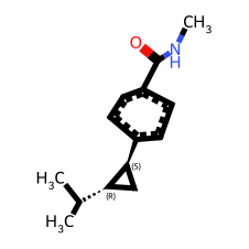 CNC(=O)c1ccc([C@H]2C[C@@H]2C(C)C)cc1